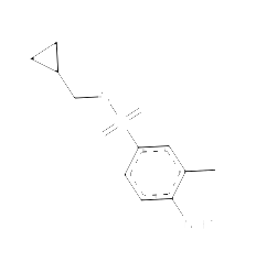 CC(=O)Nc1ccc(S(=O)(=O)NCC2CC2)cc1C